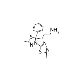 CC1=NN(c2nnc(C)s2)C(CCCN)(c2ccccc2)S1